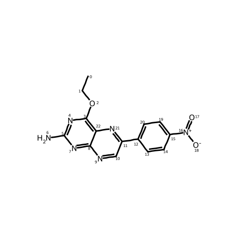 CCOc1nc(N)nc2ncc(-c3ccc([N+](=O)[O-])cc3)nc12